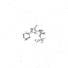 CC1N=C(c2cccnc2)SC1NC(=O)OC(C)(C)C(F)(F)F